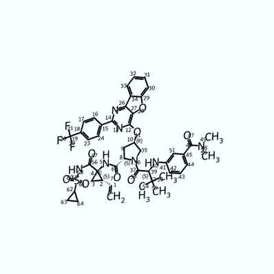 C=C[C@@H]1C[C@]1(NC(=O)[C@@H]1C[C@@H](Oc2nc(-c3ccc(C(F)(F)F)cc3)nc3c2oc2ccccc23)CN1C(=O)[C@@H](Nc1cccc(C(=O)N(C)C)c1)C(C)(C)C)C(=O)NS(=O)(=O)C1CC1